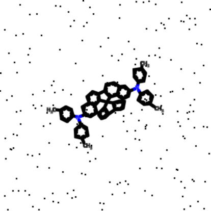 Cc1ccc(N(c2ccc(C)cc2)c2ccc3c4c(ccc3c2)-c2ccc3cc(N(c5ccc(C)cc5)c5ccc(C)cc5)ccc3c2C42c3ccccc3-c3ccccc32)cc1